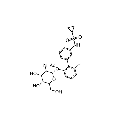 CC(=O)NC1C(O)[C@@H](O)C(CO)O[C@H]1Oc1cccc(C)c1-c1cccc(NS(=O)(=O)C2CC2)c1